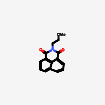 COCCN1C(=O)c2cccc3cccc(c23)C1=O